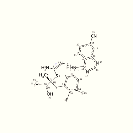 C/N=C(/N)S[C@](C)(Cc1cc(Nc2ncnc3cc(C#N)cnc23)cc(F)c1F)[C@@H](C)O